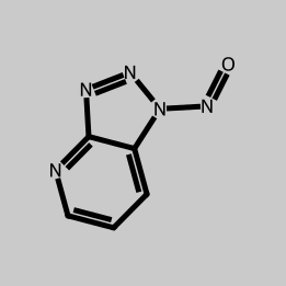 O=Nn1nnc2ncccc21